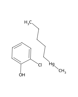 CCCC[CH2][Hg][CH3].Oc1ccccc1Cl